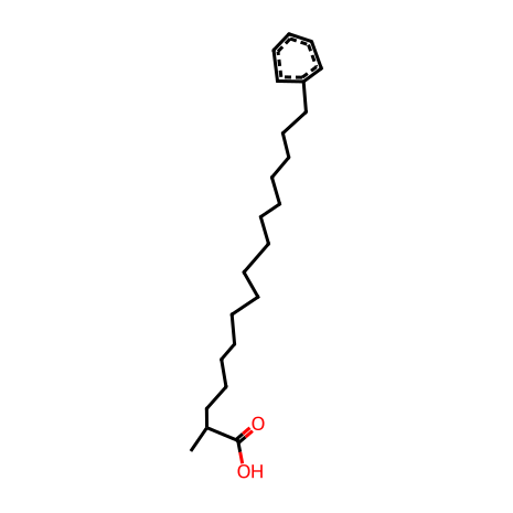 CC(CCCCCCCCCCCCCCc1ccccc1)C(=O)O